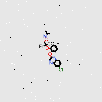 CCC(CON=C(C)C)(Oc1ccccc1Oc1cnc2cc(Cl)ccc2n1)C(=O)O